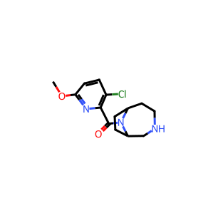 COc1ccc(Cl)c(C(=O)N2C3CCNCC2CC3)n1